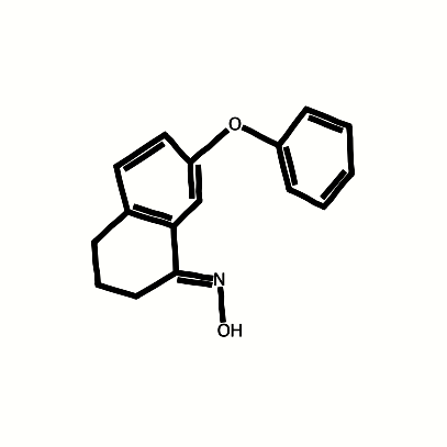 O/N=C1\CCCc2ccc(Oc3ccccc3)cc21